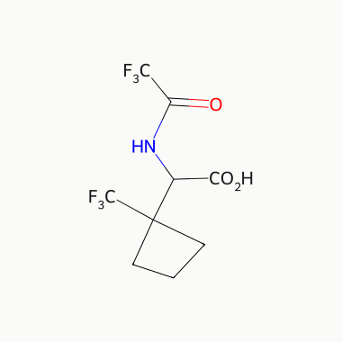 O=C(O)C(NC(=O)C(F)(F)F)C1(C(F)(F)F)CCC1